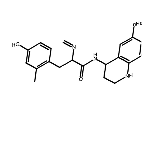 C=NC(Cc1ccc(O)cc1C)C(=O)NC1CCNc2ccc(CCCCCC)cc21